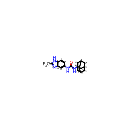 O=C(Nc1ccc2[nH]c(C(F)(F)F)nc2c1)NC12CC3CC(CC(C3)C1)C2